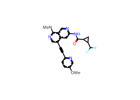 CNc1ncc(C#Cc2ccc(OC)cn2)c2cc(NC(=O)C3CC3C(F)F)ncc12